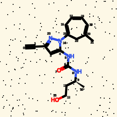 C#Cc1cc(NC(=O)N[C@H](C)CCO)n(C2=CC=CC=C(C)C2)n1